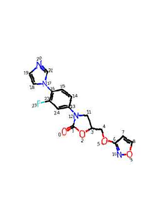 O=C1OC(COc2ccon2)CN1c1ccc(-n2ccnc2)c(F)c1